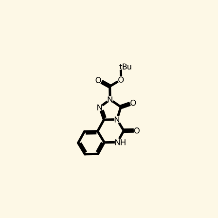 CC(C)(C)OC(=O)n1nc2c3ccccc3[nH]c(=O)n2c1=O